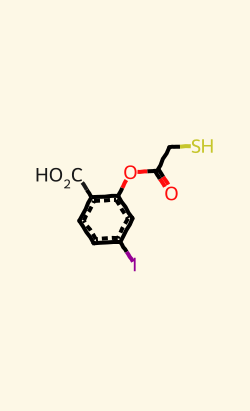 O=C(CS)Oc1cc(I)ccc1C(=O)O